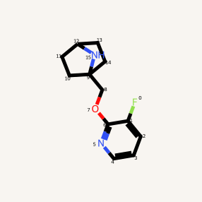 Fc1cccnc1OCC12CCC(CC1)N2